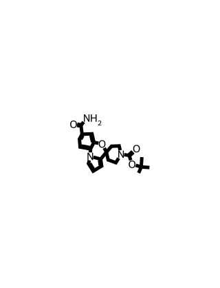 CC(C)(C)OC(=O)N1CCC2(CC1)Oc1cc(C(N)=O)ccc1-n1cccc12